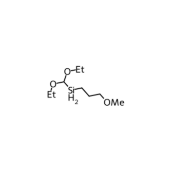 CCOC(OCC)[SiH2]CCCOC